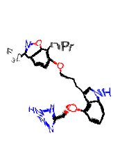 CCCc1c(OCCCc2c[nH]c3cccc(OCc4nn[nH]n4)c23)ccc2c(C(F)(F)F)noc12